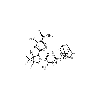 CCCC(NC(=O)[C@@H]1[C@@H]2[C@H](CN1C(=O)[C@@H](NC(=O)NC13CC4CC(CC(C4)C1)C3)C(C)(C)C)C2(C)C)C(=O)C(N)=O